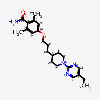 CCc1cnc(N2CCC(CCCOc3cc(C)c(C(N)=O)c(C)c3)CC2)nc1